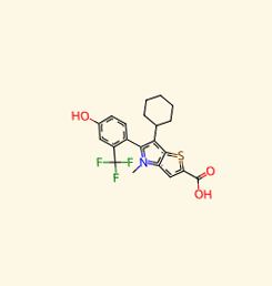 Cn1c(-c2ccc(O)cc2C(F)(F)F)c(C2CCCCC2)c2sc(C(=O)O)cc21